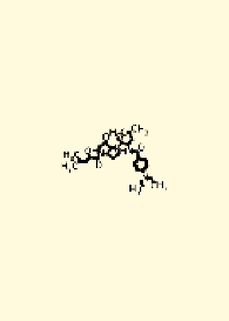 CCN(CC)c1ccc(C(=O)NC(CC(C)C)C(=O)N2CCC3C2C(=O)CN3C(=O)C(O)CC(C)C)cc1